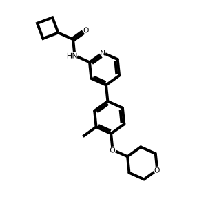 Cc1cc(-c2ccnc(NC(=O)C3CCC3)c2)ccc1OC1CCOCC1